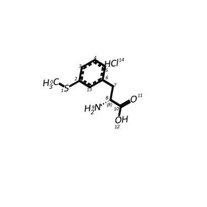 CSc1cccc(C[C@@H](N)C(=O)O)c1.Cl